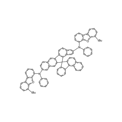 CC(C)(C)c1cccc2c1oc1c(N(c3ccccc3)c3ccc4cc5c(cc4c3)C3(c4ccccc4-c4c3ccc3ccccc43)c3c-5ccc4cc(N(c5ccccc5)c5cccc6c5oc5c(C(C)(C)C)cccc56)ccc34)cccc12